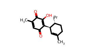 CC1=C[C@@H](C2=C(O)C(=O)C(C)=CC2=O)[C@H](C(C)C)CC1